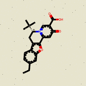 CCc1ccc2c3c(oc2c1)-c1cc(=O)c(C(=O)O)cn1[C@@H](C(C)(C)C)C3